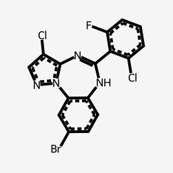 Fc1cccc(Cl)c1C1=Nc2c(Cl)cnn2-c2cc(Br)ccc2N1